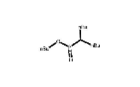 CCCCO[PH](=O)C(CCCC)CCCC